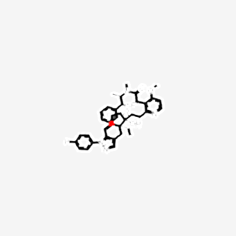 CC[C@]12Cc3cnn(-c4ccc(F)cc4)c3C=C1CC[C@@]2(O)CCc1nccc(OC)c1C(F)C(=O)N(C)[C@H](C)[C@@H](O)c1ccccc1